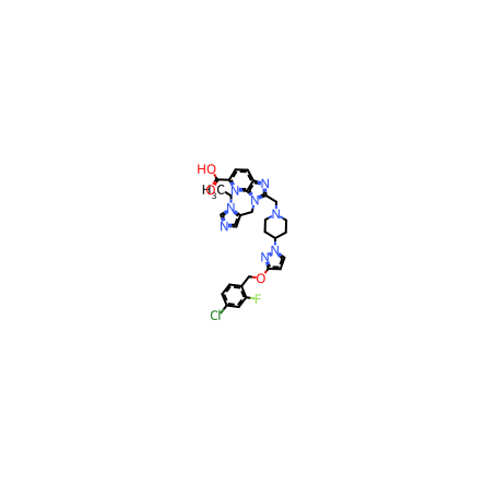 CCn1cncc1Cn1c(CN2CCC(n3ccc(OCc4ccc(Cl)cc4F)n3)CC2)nc2ccc(C(=O)O)nc21